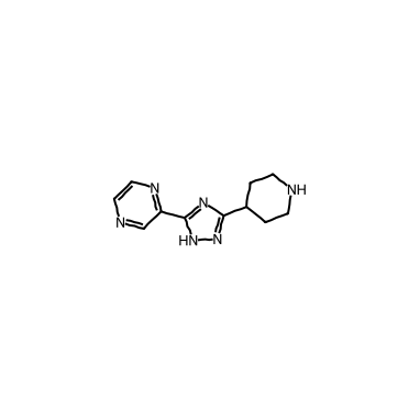 c1cnc(-c2nc(C3CCNCC3)n[nH]2)cn1